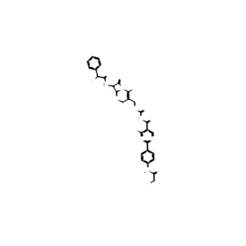 CC(=O)N(C(=O)[C@@H](C)N)c1ccc(-c2ncc(C(=O)NC(=O)OCC3=C(C(=O)O)N4C(=O)C(NC(=O)C(N)c5ccccc5)[C@@H]4SC3)c(O)n2)cc1